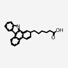 O=C(O)CCCCCC1C=Cc2c(c3c(c4ccccc24)-c2ccccc2N=3)=C1